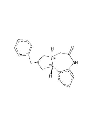 O=C1C[C@@H]2CN(Cc3ccccc3)C[C@H]2c2ccccc2N1